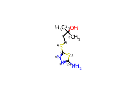 CC(C)(O)CCSc1nnc(N)s1